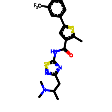 Cc1sc(-c2cccc(C(F)(F)F)c2)cc1C(=O)Nc1nc(CC(C)N(C)C)ns1